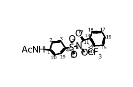 CC(=O)Nc1ccc(S(=O)(=O)N(OC(F)(F)F)C(=O)c2ccccc2)cc1